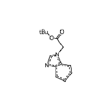 CC(C)(C)OC(=O)Cn1cnc2ccccc21